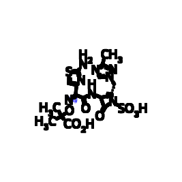 Cc1ncn(C[C@H]2C(NC(=O)/C(=N\OC(C)(C)C(=O)O)c3csc(N)n3)C(=O)N2S(=O)(=O)O)n1